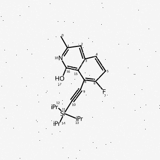 Cc1cc2ccc(F)c(C#C[Si](C(C)C)(C(C)C)C(C)C)c2c(O)n1